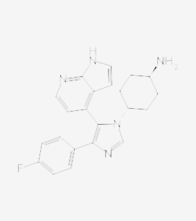 N[C@H]1CC[C@H](n2cnc(-c3ccc(F)cc3)c2-c2ccnc3[nH]ccc23)CC1